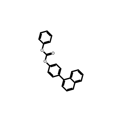 O=C(Oc1ccccc1)Oc1ccc(-c2cccc3ccccc23)cc1